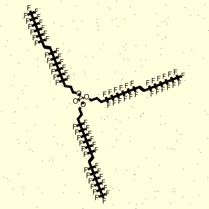 O=P(OCCCC(F)(F)C(F)(F)C(F)(F)C(F)(F)C(F)(F)C(F)(F)/C=C/C(F)(F)C(F)(F)C(F)(F)C(F)(F)C(F)(F)C(F)(F)F)(OCCCC(F)(F)C(F)(F)C(F)(F)C(F)(F)C(F)(F)C(F)(F)/C=C/C(F)(F)C(F)(F)C(F)(F)C(F)(F)C(F)(F)C(F)(F)F)OCCCC(F)(F)C(F)(F)C(F)(F)C(F)(F)C(F)(F)C(F)(F)/C=C/C(F)(F)C(F)(F)C(F)(F)C(F)(F)C(F)(F)C(F)(F)F